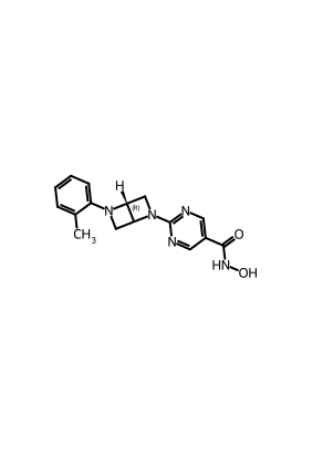 Cc1ccccc1N1CC2[C@H]1CN2c1ncc(C(=O)NO)cn1